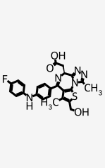 Cc1c(CO)sc2c1C(c1ccc(Nc3ccc(F)cc3)cc1)=N[C@@H](CC(=O)O)c1nnc(C)n1-2